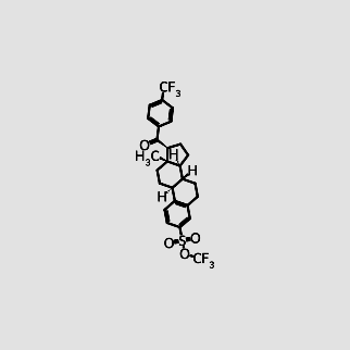 C[C@]12CC[C@@H]3c4ccc(S(=O)(=O)OC(F)(F)F)cc4CC[C@H]3[C@@H]1CC[C@@H]2C(=O)c1ccc(C(F)(F)F)cc1